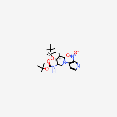 C[C@H]1CN(c2ccncc2[N+](=O)[O-])CC(NC(=O)OC(C)(C)C)[C@@H]1O[Si](C)(C)C(C)(C)C